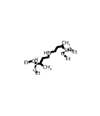 CCO[SiH](OCC)C(C)CCNCCC(C)[SiH](OCC)OCC